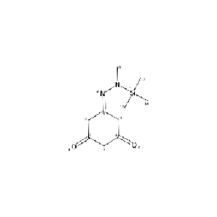 CN(N=C1CC(=O)CC(=O)C1)[Si](C)(C)C